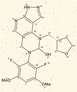 COc1cc(OC)c(F)c(N2Cc3cnc4[nH]ncc4c3N(C[C@@H]3CCOC3)C2O)c1F